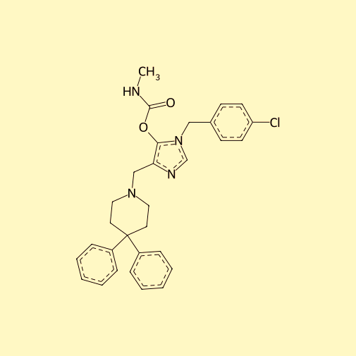 CNC(=O)Oc1c(CN2CCC(c3ccccc3)(c3ccccc3)CC2)ncn1Cc1ccc(Cl)cc1